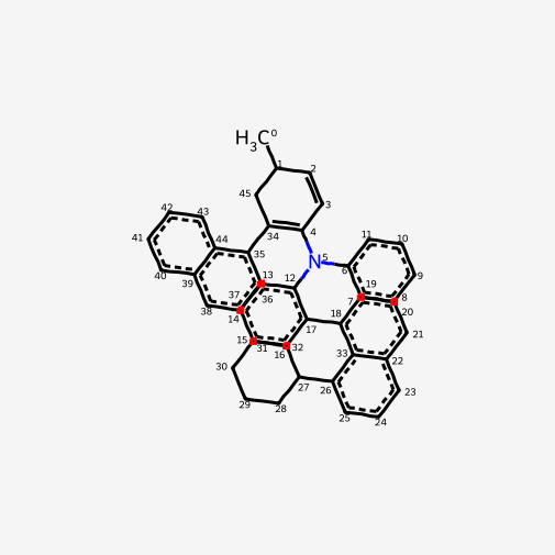 CC1C=CC(N(c2ccccc2)c2ccccc2-c2cccc3cccc(C4CCCCC4)c23)=C(c2cccc3ccccc23)C1